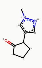 Cn1cc(C2CCCC2=O)cn1